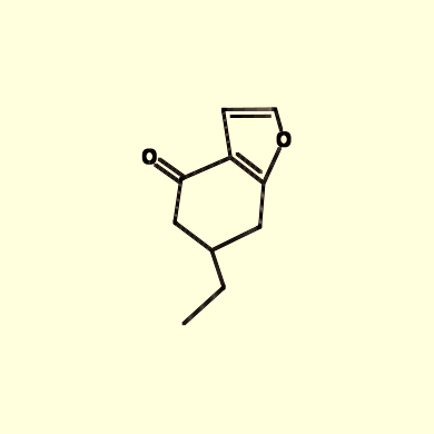 CCC1CC(=O)c2ccoc2C1